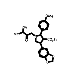 CCCC(CCC)C(=O)CN1CC(c2ccc3c(c2)OCO3)C(C(=O)OCC)C1c1ccc(OC)cc1